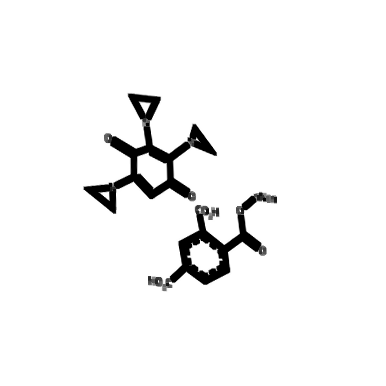 CCCCCCCCCOC(=O)c1ccc(C(=O)O)cc1C(=O)O.O=C1C=C(N2CC2)C(=O)C(N2CC2)=C1N1CC1